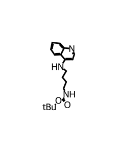 CC(C)(C)OC(=O)NCCCCNc1ccnc2ccccc12